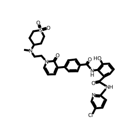 CN(CCn1cccc(-c2ccc(C(=O)Nc3c(O)cccc3C(=O)Nc3ccc(Cl)cn3)cc2)c1=O)C1CCS(=O)(=O)CC1